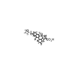 N#Cc1c(NC(=O)O)sc2c(F)cnc(-c3c4c(c5cnc(OC[C@@H]6CCCO6)nc5c3F)COC4)c12